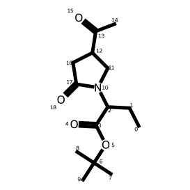 CCC(C(=O)OC(C)(C)C)N1CC(C(C)=O)CC1=O